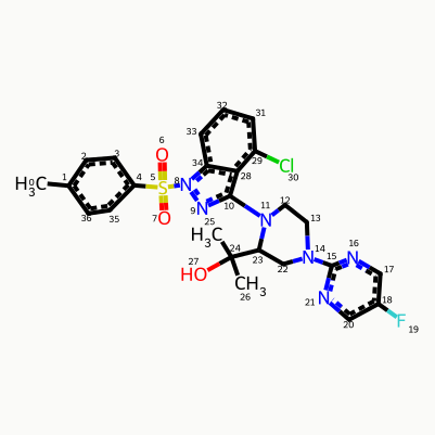 Cc1ccc(S(=O)(=O)n2nc(N3CCN(c4ncc(F)cn4)CC3C(C)(C)O)c3c(Cl)cccc32)cc1